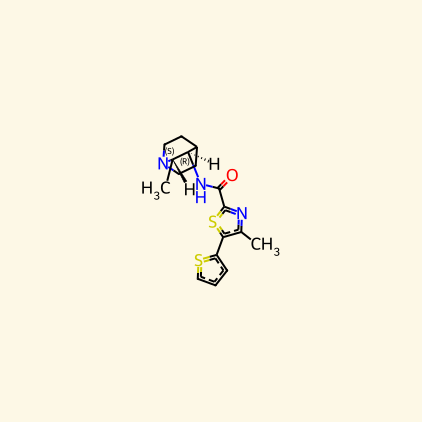 Cc1nc(C(=O)N[C@@H]2C3CCN(CC3)[C@H]2C)sc1-c1cccs1